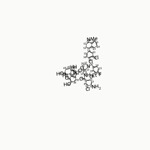 CCOc1cc(N)c(Cl)cc1C(=O)NCC1CN(Cc2ccc(F)cc2)CCO1.CN1CC[C@]23c4c5ccc(O)c4O[C@H]2[C@@H](O)C=C[C@H]3[C@H]1C5.CN[C@H]1CC[C@@H](c2ccc(Cl)c(Cl)c2)c2ccccc21